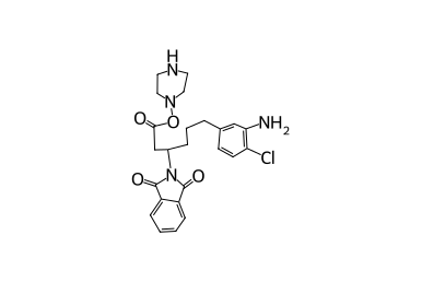 Nc1cc(CCCC(CC(=O)ON2CCNCC2)N2C(=O)c3ccccc3C2=O)ccc1Cl